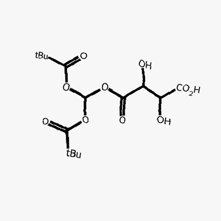 CC(C)(C)C(=O)OC(OC(=O)C(O)C(O)C(=O)O)OC(=O)C(C)(C)C